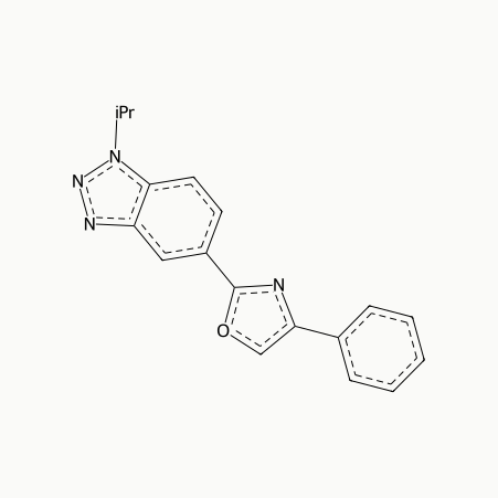 CC(C)n1nnc2cc(-c3nc(-c4ccccc4)co3)ccc21